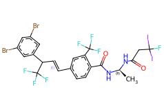 C[C@H](NC(=O)CC(F)(I)I)NC(=O)c1ccc(/C=C/C(c2cc(Br)cc(Br)c2)C(F)(F)F)cc1C(F)(F)F